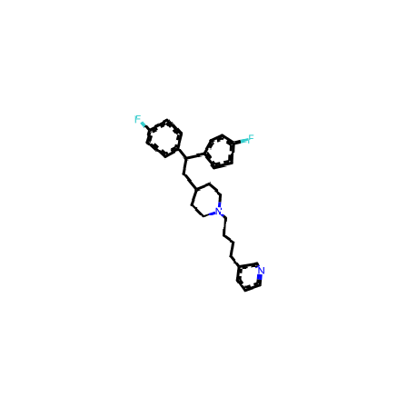 Fc1ccc(C(CC2CCN(CCCCc3cccnc3)CC2)c2ccc(F)cc2)cc1